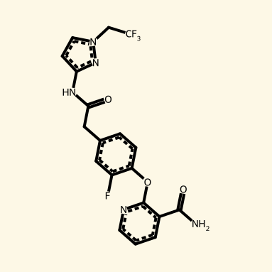 NC(=O)c1cccnc1Oc1ccc(CC(=O)Nc2ccn(CC(F)(F)F)n2)cc1F